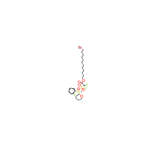 CS(OS(=O)(=O)C(F)(F)C(=O)OCCCCCCCCCCCCBr)(c1ccccc1F)C1CCCCO1